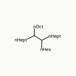 CCCCCCCC[C](CCCCCCC)C(CCCCCC)CCCCCCC